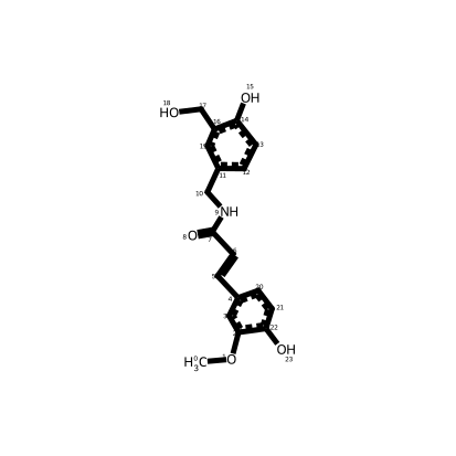 COc1cc(/C=C/C(=O)NCc2ccc(O)c(CO)c2)ccc1O